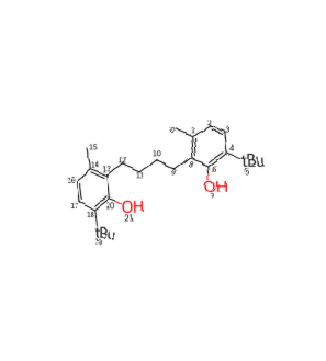 Cc1ccc(C(C)(C)C)c(O)c1CCCCc1c(C)ccc(C(C)(C)C)c1O